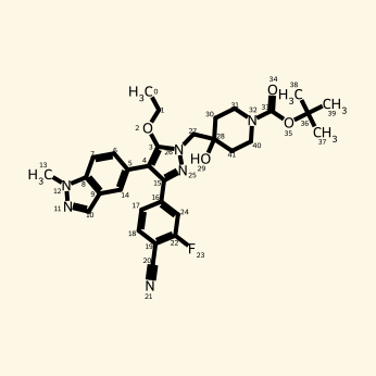 CCOc1c(-c2ccc3c(cnn3C)c2)c(-c2ccc(C#N)c(F)c2)nn1CC1(O)CCN(C(=O)OC(C)(C)C)CC1